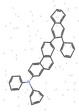 c1ccc(-c2cc3ccccc3cc2-c2ccc3c(ccc4cc(N(c5ccccc5)c5ccccc5)ccc43)c2)cc1